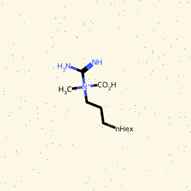 CCCCCCCCC[N+](C)(C(=N)N)C(=O)O